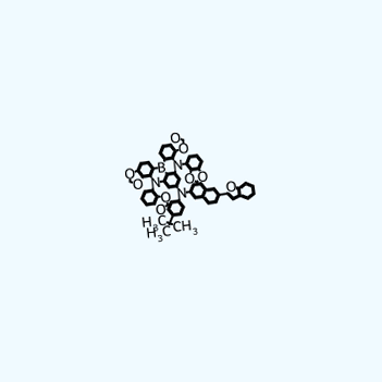 CC(C)(C)c1ccc(N(c2cc3c4c(c2)N(c2cccc5c2OCO5)c2c(ccc5c2OCO5)B4c2ccc4c(c2N3c2cccc3c2OCO3)OCO4)c2ccc3cc(-c4cc5ccccc5o4)ccc3c2)cc1